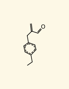 C=C(C=O)Cc1ccc(CC)cc1